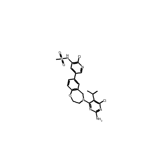 CC(C)c1c(Cl)nc(N)nc1N1CCOc2ccc(-c3cnc(Cl)c(NS(C)(=O)=O)c3)cc2C1